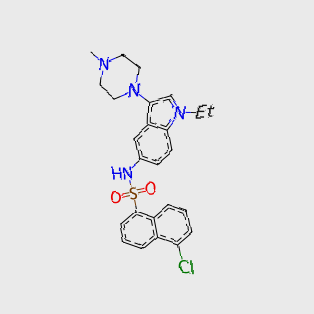 CCn1cc(N2CCN(C)CC2)c2cc(NS(=O)(=O)c3cccc4c(Cl)cccc34)ccc21